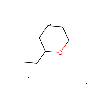 [CH2]CC1CCCCO1